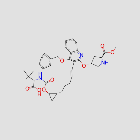 COC(=O)[C@@H]1C[C@@H](Oc2nc3ccccc3c(OCc3ccccc3)c2C#CCCC[C@@H]2C[C@H]2OC(=O)N[C@H](C(=O)O)C(C)(C)C)CN1